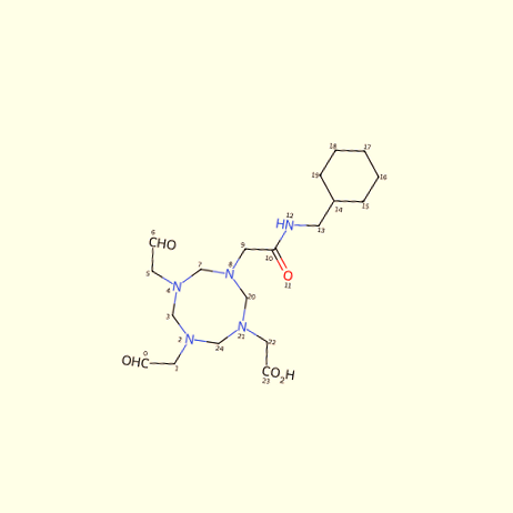 O=CCN1CN(CC=O)CN(CC(=O)NCC2CCCCC2)CN(CC(=O)O)C1